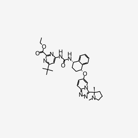 CCOC(=O)c1nc(NC(=O)N[C@H]2CC[C@@H](Oc3ccc4nnc([C@]5(C)CCCN5C)n4c3)c3ccccc32)cc(C(C)(C)C)n1